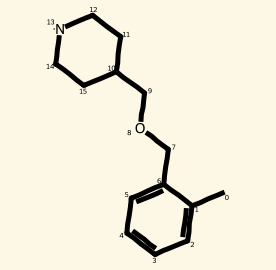 Cc1ccccc1COCC1CC[N]CC1